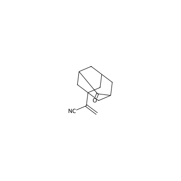 C=C(C#N)C12CC3CC(C1)C(=O)C(C3)C2